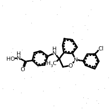 CC1(Nc2ccc(C(=O)NO)cc2)CON(c2cccc(Cl)c2)c2ccccc21